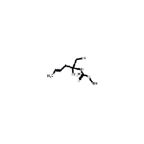 C/C=C/CC(CC#N)(NC(=O)OC(C)(C)C)C(=O)O